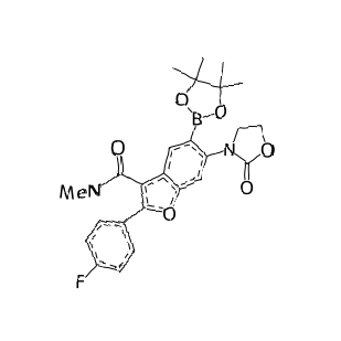 CNC(=O)c1c(-c2ccc(F)cc2)oc2cc(N3CCOC3=O)c(B3OC(C)(C)C(C)(C)O3)cc12